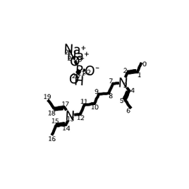 CC=CN(C=CC)CCCCCCN(C=CC)C=CC.O=[PH]([O-])[O-].[Na+].[Na+]